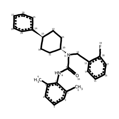 Cc1cccc(C)c1NC(=O)N(Cc1ccccc1F)[C@H]1CC[C@H](c2ccccc2)CC1